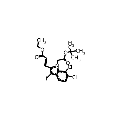 CCOC(=O)C=Cc1c(I)c2ccc(Cl)c(Cl)c2n1CC(=O)OC(C)(C)C